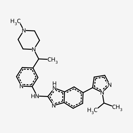 CC(c1ccnc(Nc2nc3ccc(-c4ccnn4C(C)C)cc3[nH]2)c1)N1CCN(C)CC1